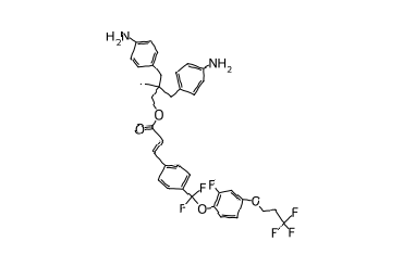 [CH2]C(COC(=O)/C=C/c1ccc(C(F)(F)Oc2ccc(OCCC(F)(F)F)cc2F)cc1)(Cc1ccc(N)cc1)Cc1ccc(N)cc1